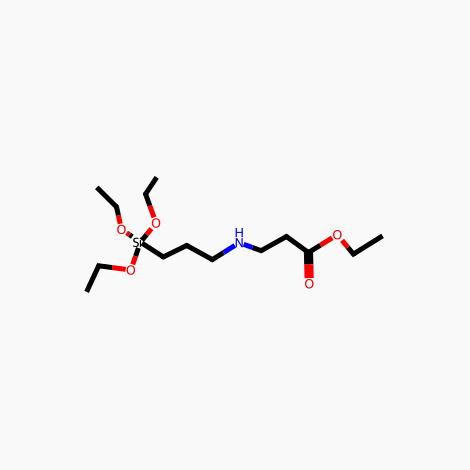 CCOC(=O)CCNCCC[Si](OCC)(OCC)OCC